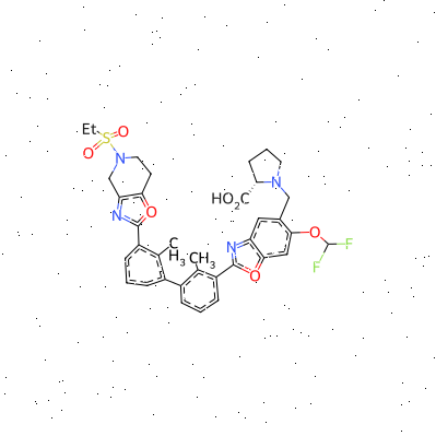 CCS(=O)(=O)N1CCc2oc(-c3cccc(-c4cccc(-c5nc6cc(CN7CCC[C@H]7C(=O)O)c(OC(F)F)cc6o5)c4C)c3C)nc2C1